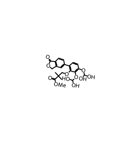 COC(=O)C(C)(C)COc1c(-c2ccc3c(c2)COC3=O)ccc(OC(O)O)c1OC(O)O